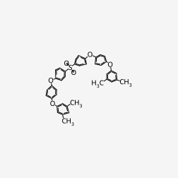 Cc1cc(C)cc(Oc2ccc(Oc3ccc(S(=O)(=O)c4ccc(Oc5ccc(Oc6cc(C)cc(C)c6)cc5)cc4)cc3)cc2)c1